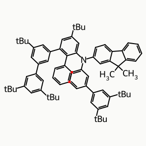 CC(C)(C)c1cc(-c2cc(C(C)(C)C)cc(C(C)(C)C)c2)cc(-c2cc(C(C)(C)C)cc(N(c3cccc(-c4cc(C(C)(C)C)cc(C(C)(C)C)c4)c3)c3ccc4c(c3)C(C)(C)c3ccccc3-4)c2-c2ccccc2)c1